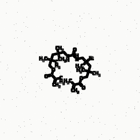 C=C(C)C(=O)OCC(C)(C)CC(C)(C)CNC(=O)NCC(C)(CC)CC(C)(C)COC(=O)C(=C)C